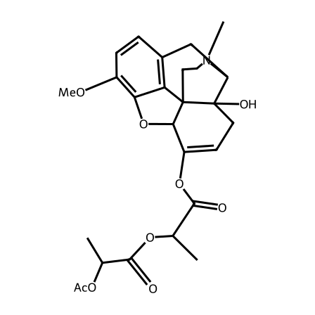 COc1ccc2c3c1OC1C(OC(=O)C(C)OC(=O)C(C)OC(C)=O)=CCC4(O)C(C2)N(C)CCC314